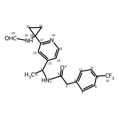 CC(NC(=O)Cc1ccc(C(F)(F)F)cc1)c1ccnc(C2(NC=O)CC2)c1